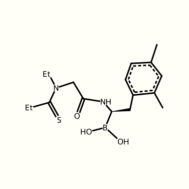 CCC(=S)N(CC)CC(=O)N[C@@H](Cc1ccc(C)cc1C)B(O)O